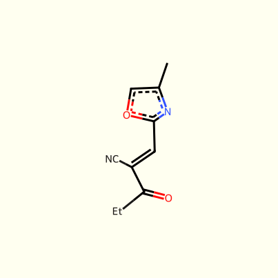 CCC(=O)/C(C#N)=C/c1nc(C)co1